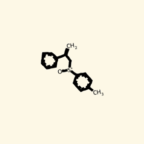 C=C(C[S+]([O-])c1ccc(C)cc1)c1ccccc1